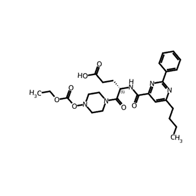 CCCCc1cc(C(=O)N[C@@H](CCC(=O)O)C(=O)N2CCN(OC(=O)OCC)CC2)nc(-c2ccccc2)n1